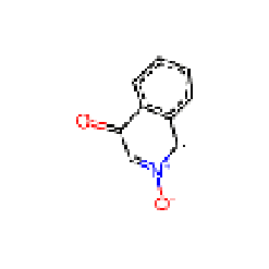 O=C1C=[N+]([O-])[CH]c2ccccc21